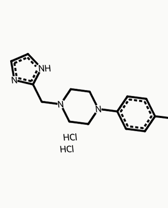 Cl.Cl.Fc1ccc(N2CCN(Cc3ncc[nH]3)CC2)cc1